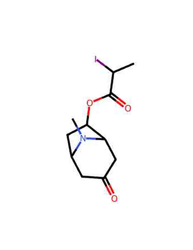 CC(I)C(=O)OC1CC2CC(=O)CC1N2C